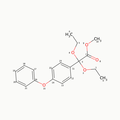 CCOC(OCC)(C(=O)OC)c1ccc(Oc2ccccc2)cc1